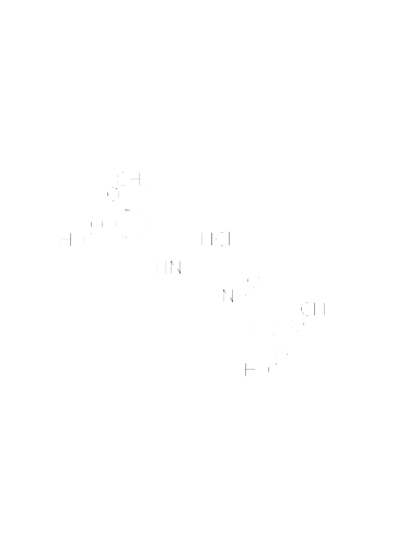 COc1ccc(CCNCCCN2CCc3cc(OC)c(OC)cc3C2=O)cc1OC.Cl